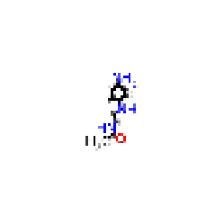 CC(=O)NCCNc1ccc(N)cc1